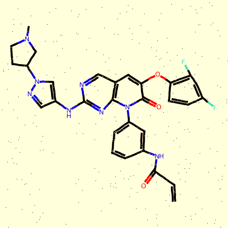 C=CC(=O)Nc1cccc(-n2c(=O)c(Oc3ccc(F)cc3F)cc3cnc(Nc4cnn(C5CCN(C)C5)c4)nc32)c1